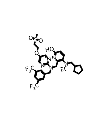 CCN(CC1CCCC1)c1ccc(O)nc1CN(Cc1cc(C(F)(F)F)cc(C(F)(F)F)c1)c1ncc(OCCS(C)(=O)=O)cn1